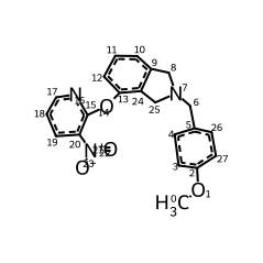 COc1ccc(CN2Cc3cccc(Oc4ncccc4[N+](=O)[O-])c3C2)cc1